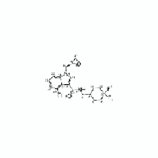 O=C(NCC1CCC(F)(F)CC1)c1cn(C[C@H]2CO2)c2cccc(Cl)c12